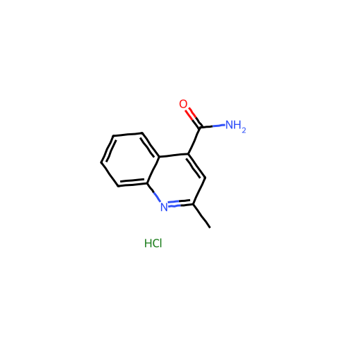 Cc1cc(C(N)=O)c2ccccc2n1.Cl